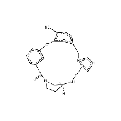 N#Cc1ccc2cc1Oc1cccc(c1)C(=O)N1CC[C@@H](C1)NCc1cncn1C2